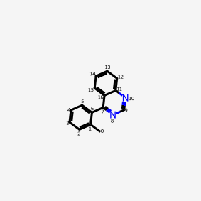 Cc1ccccc1-c1ncnc2ccccc12